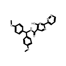 COc1ccc(C(NC(=O)c2cnc(-c3cccnn3)nc2O)c2ccc(SC)cc2)cc1